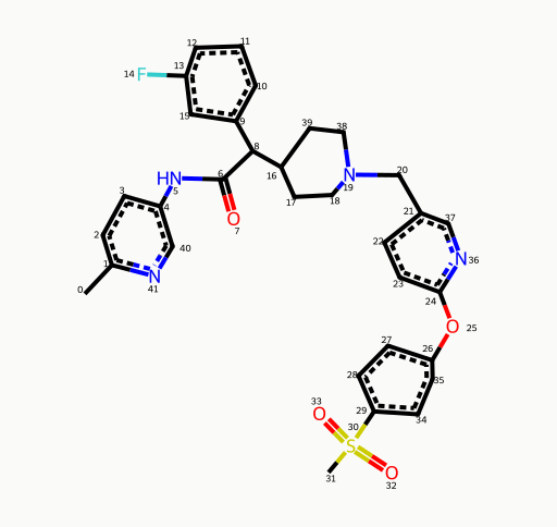 Cc1ccc(NC(=O)C(c2cccc(F)c2)C2CCN(Cc3ccc(Oc4ccc(S(C)(=O)=O)cc4)nc3)CC2)cn1